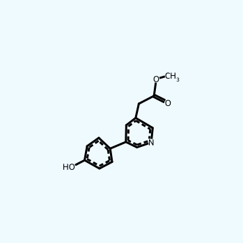 COC(=O)Cc1cncc(-c2ccc(O)cc2)c1